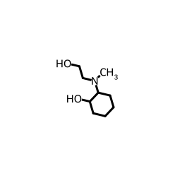 CN(CCO)C1CCCCC1O